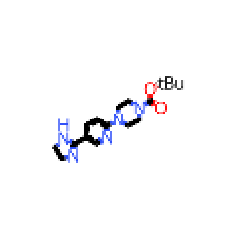 CC(C)(C)OC(=O)N1CCN(c2ccc(C3=NCCN3)cn2)CC1